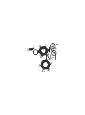 CCOc1ccc([N+](=O)[O-])c(NC2CCCCC2)c1